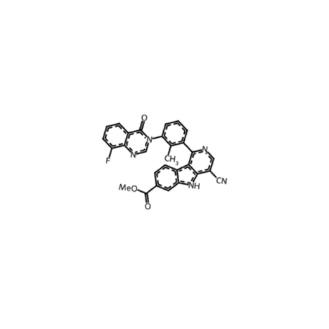 COC(=O)c1ccc2c(c1)[nH]c1c(C#N)cnc(-c3cccc(-n4cnc5c(F)cccc5c4=O)c3C)c12